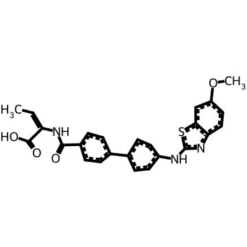 C/C=C(/NC(=O)c1ccc(-c2ccc(Nc3nc4ccc(OC)cc4s3)cc2)cc1)C(=O)O